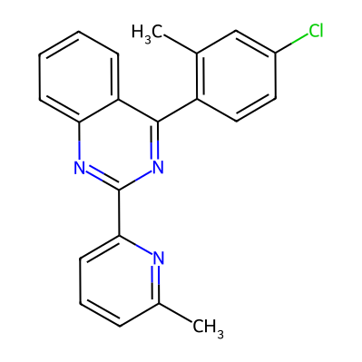 Cc1cccc(-c2nc(-c3ccc(Cl)cc3C)c3ccccc3n2)n1